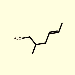 C/C=C/CC(C)COC(C)=O